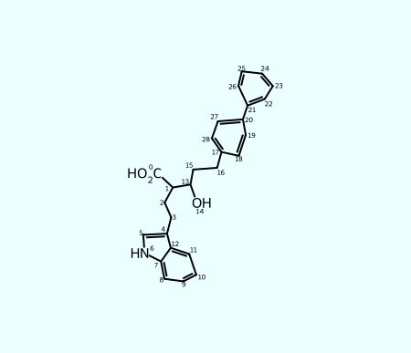 O=C(O)C(CCc1c[nH]c2ccccc12)C(O)CCc1ccc(-c2ccccc2)cc1